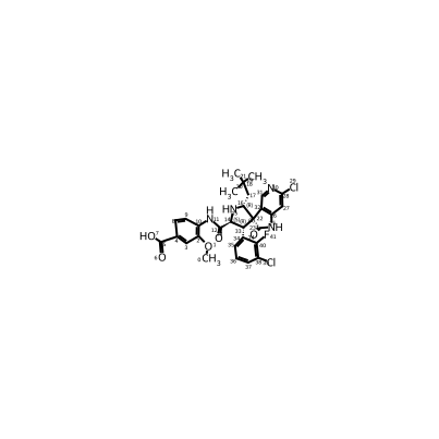 COc1cc(C(=O)O)ccc1NC(=O)[C@H]1N[C@H](CC(C)(C)C)[C@]2(C(=O)Nc3cc(Cl)ncc32)[C@@H]1c1cccc(Cl)c1F